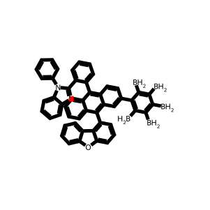 Bc1c(B)c(B)c(-c2ccc3c(-c4ccccc4-c4nc5ccccc5n4-c4ccccc4)c4ccccc4c(-c4cccc5oc6ccccc6c45)c3c2)c(B)c1B